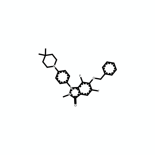 Cn1c(=O)c2cc(F)c(OCc3ccccc3)c(F)c2n1-c1ccc(N2CCC(C)(C)CC2)cc1